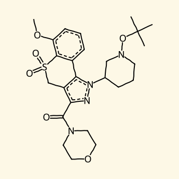 COc1cccc2c1S(=O)(=O)Cc1c(C(=O)N3CCOCC3)nn(C3CCCN(OC(C)(C)C)C3)c1-2